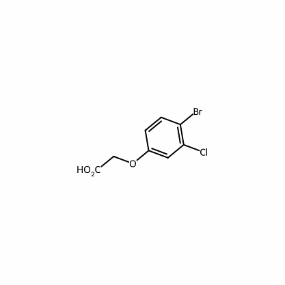 O=C(O)COc1ccc(Br)c(Cl)c1